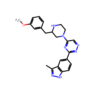 Cc1n[nH]c2ccc(-c3nncc(N4CCNC(Cc5cccc(OC(F)(F)F)c5)C4)n3)cc12